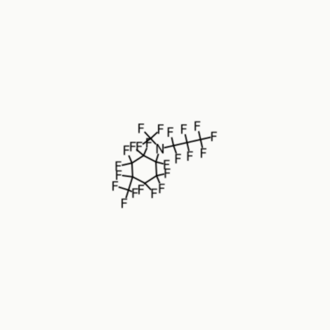 FC(F)(F)N(C(F)(F)C(F)(F)C(F)(F)F)C1(F)C(F)(F)C(F)(F)C(F)(C(F)(F)F)C(F)(F)C1(F)F